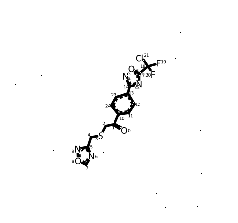 O=C(CSCc1ncon1)c1ccc(-c2noc(C(F)(F)Cl)n2)cc1